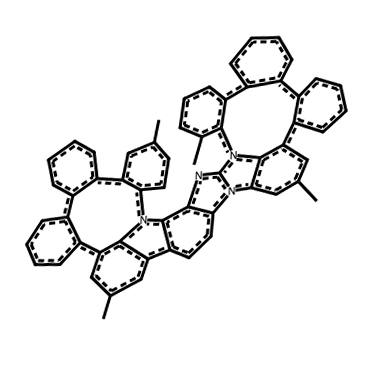 Cc1ccc2c(c1)c1ccccc1c1ccccc1c1cc(C)cc3c4ccc5c(nc6n5c5cc(C)cc7c8ccccc8c8ccccc8c8cccc(C)c8n6c75)c4n2c13